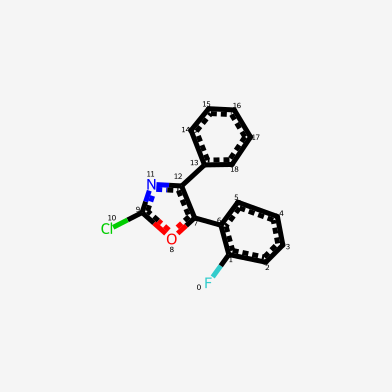 Fc1ccccc1-c1oc(Cl)nc1-c1ccccc1